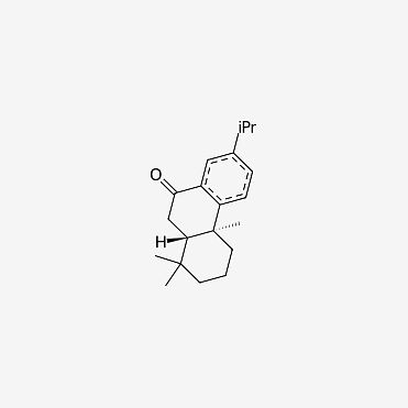 CC(C)c1ccc2c(c1)C(=O)C[C@H]1C(C)(C)CCC[C@]21C